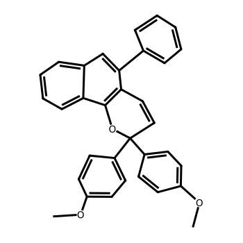 COc1ccc(C2(c3ccc(OC)cc3)C=Cc3c(-c4ccccc4)cc4ccccc4c3O2)cc1